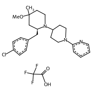 COC1(C)CCN(C2CCN(c3ccccn3)CC2)[C@@H](Cc2ccc(Cl)cc2)C1.O=C(O)C(F)(F)F